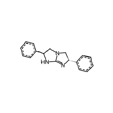 c1ccc(C2CN3C[C@H](c4ccccc4)N=C3N2)cc1